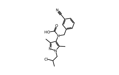 Cc1nn(CC(C)Cl)c(C)c1N(Cc1cccc(C#N)c1)C(=O)O